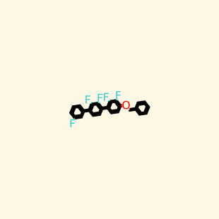 Fc1cccc(-c2ccc(-c3ccc(OCc4ccccc4)c(F)c3F)c(F)c2F)c1